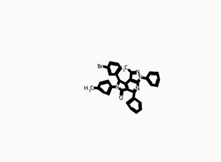 Cc1ccc(N2C(=O)c3c(-c4ccccc4)nc4c(c(C)nn4-c4ccccc4)c3C2c2cccc(Br)c2)cc1